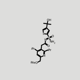 COCc1cc(C(C)C)c(CC(=O)N=S(N)(=O)c2cc(C(C)(C)O)cs2)c(C(C)C)n1